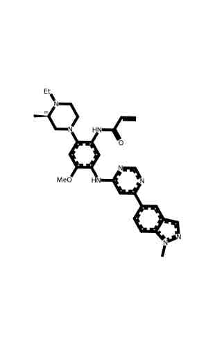 C=CC(=O)Nc1cc(Nc2cc(-c3ccc4c(cnn4C)c3)ncn2)c(OC)cc1N1CCN(CC)[C@H](C)C1